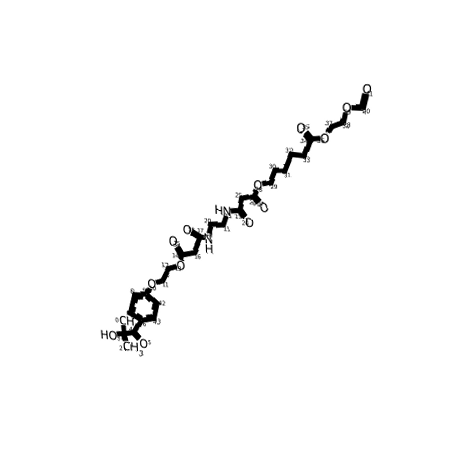 CC(C)(O)C(=O)c1ccc(OCCOC(=O)CC(=O)NCCNC(=O)CC(=O)OCCCCCC(=O)OCCOC=O)cc1